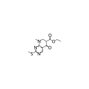 CCOC(=O)C1CN(C)c2nc(SC)ncc2C1=O